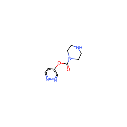 O=C(Oc1ccnnc1)N1CCNCC1